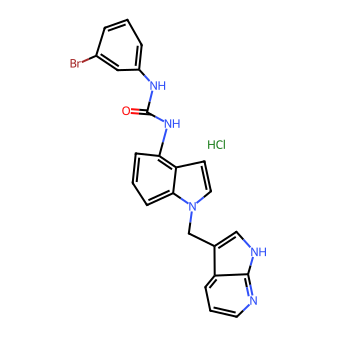 Cl.O=C(Nc1cccc(Br)c1)Nc1cccc2c1ccn2Cc1c[nH]c2ncccc12